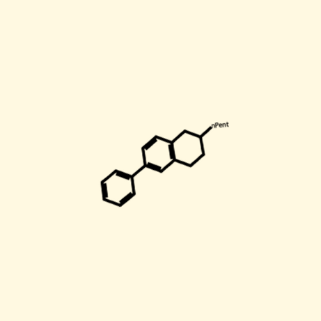 CCCCCC1CCc2cc(-c3ccccc3)ccc2C1